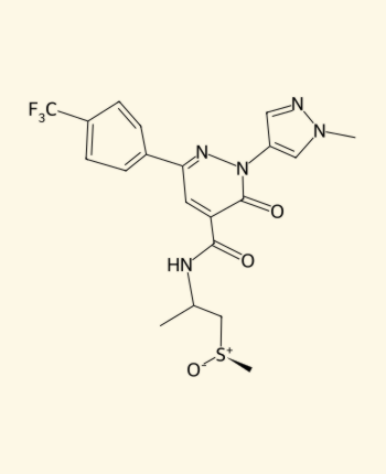 CC(C[S@@+](C)[O-])NC(=O)c1cc(-c2ccc(C(F)(F)F)cc2)nn(-c2cnn(C)c2)c1=O